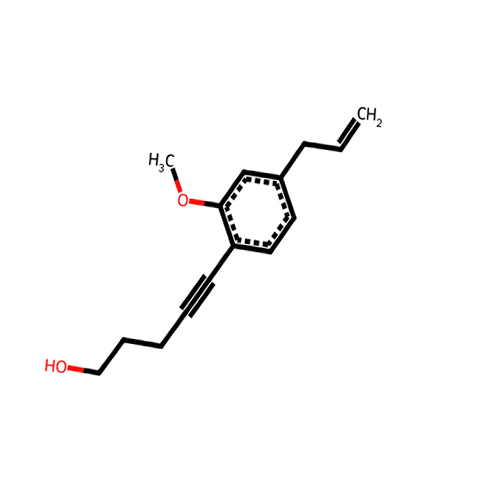 C=CCc1ccc(C#CCCCO)c(OC)c1